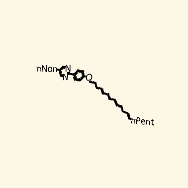 CCCCC/C=C/C/C=C/CCCCCCCCOc1ccc(-c2ncc(CCCCCCCCC)cn2)cc1